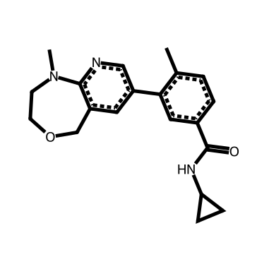 Cc1ccc(C(=O)NC2CC2)cc1-c1cnc2c(c1)COCCN2C